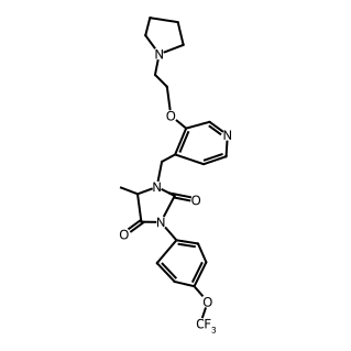 CC1C(=O)N(c2ccc(OC(F)(F)F)cc2)C(=O)N1Cc1ccncc1OCCN1CCCC1